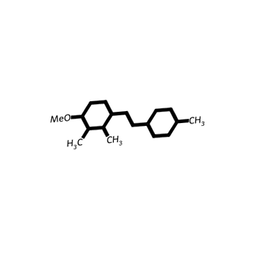 COC1CCC(CCC2CCC(C)CC2)C(C)C1C